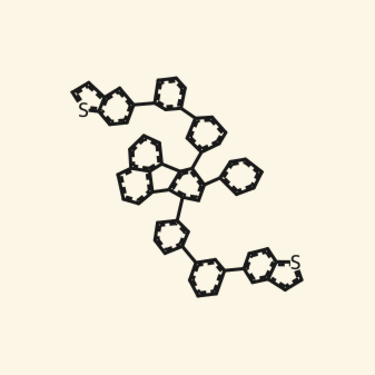 c1ccc(-c2cc(-c3cccc(-c4cccc(-c5ccc6sccc6c5)c4)c3)c3c(c2-c2cccc(-c4cccc(-c5ccc6sccc6c5)c4)c2)-c2cccc4cccc-3c24)cc1